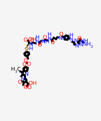 CCc1c2c(nc3ccc(OC(=O)OCc4ccc(SSC[C@H](NC(=O)CNC(=O)CNC(=O)CNC(=O)CCCNC(=O)c5ccc(NCc6cnc7nc(N)[nH]c(=O)c7n6)cc5)C(=O)O)cc4)cc13)-c1cc3c(c(=O)n1C2)COC(=O)[C@H]3O